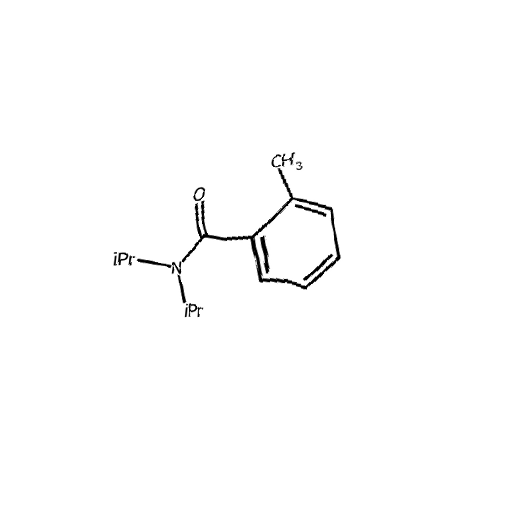 Cc1ccccc1C(=O)N(C(C)C)C(C)C